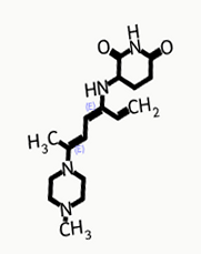 C=C/C(=C\C=C(/C)N1CCN(C)CC1)NC1CCC(=O)NC1=O